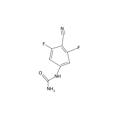 N#Cc1c(F)cc(NC(N)=O)cc1F